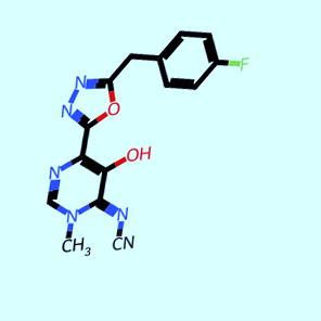 Cn1cnc(-c2nnc(Cc3ccc(F)cc3)o2)c(O)/c1=N/C#N